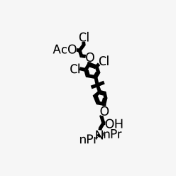 CCCN(CCC)CC(O)COc1ccc(C(C)(C)c2cc(Cl)c(OCC(CCl)OC(C)=O)c(Cl)c2)cc1